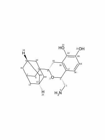 NC[C@@H]1O[C@H](C23CC4C[C@H](C2)C[C@H](C4)C3)Cc2c1ccc(O)c2O